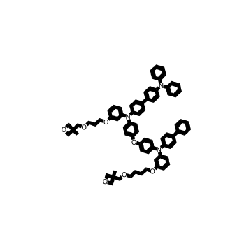 CC1(COCCCCOc2cccc(N(c3ccc(Oc4ccc(N(c5cccc(OCCCOCC6(C)COC6)c5)C5C=CC(c6ccc(N(c7ccccc7)c7ccccc7)cc6)=CC5)cc4)cc3)c3ccc(-c4ccccc4)cc3)c2)COC1